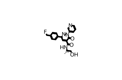 C[C@@H](CO)NC(=O)c1cc(-c2ccc(CF)cc2)nn(-c2cccnc2)c1=O